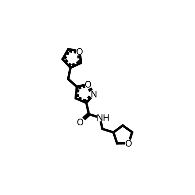 O=C(NCC1CCOC1)c1cc(Cc2ccoc2)on1